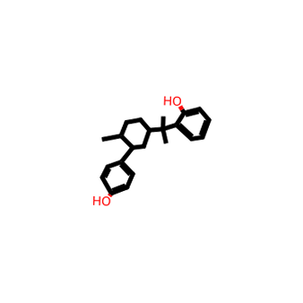 CC1CCC(C(C)(C)c2ccccc2O)CC1c1ccc(O)cc1